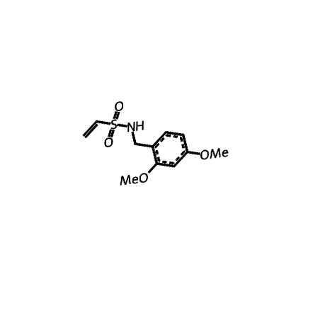 C=CS(=O)(=O)NCc1ccc(OC)cc1OC